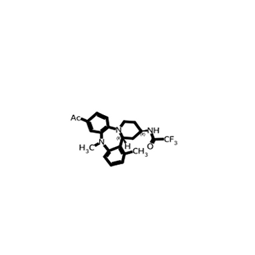 CC(=O)c1ccc2c(c1)N(C)c1cccc(C)c1[C@H]1C[C@H](NC(=O)C(F)(F)F)CCN21